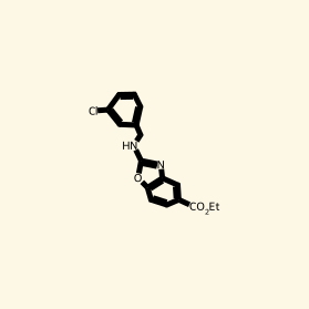 CCOC(=O)c1ccc2oc(NCc3cccc(Cl)c3)nc2c1